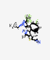 CCn1cc(-c2c(-c3cncc4sc(C#N)cc34)ccc(F)c2F)c(C(F)(F)F)n1